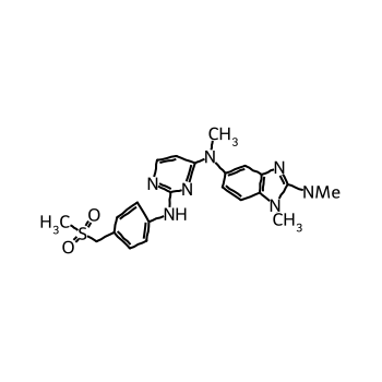 CNc1nc2cc(N(C)c3ccnc(Nc4ccc(CS(C)(=O)=O)cc4)n3)ccc2n1C